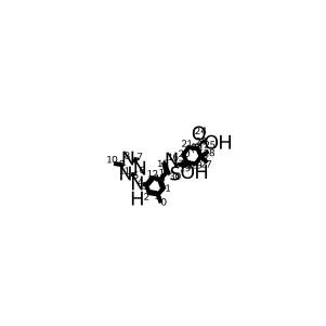 Cc1cc(Nc2ncnc(C)n2)cc(-c2cnc([C@@]3(O)CC[C@@H](C(=O)O)C(C)(C)C3)s2)c1